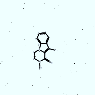 CCN1CCn2c(c(Cl)c3ccccc32)C1=O